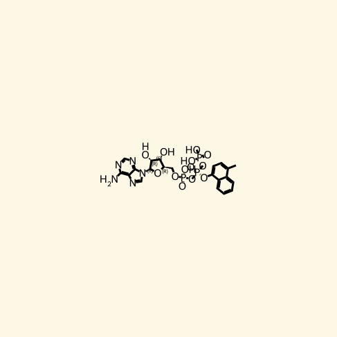 Cc1ccc(OP(=O)(OP(=O)(O)O)OP(=O)(O)OC[C@H]2O[C@@H](n3cnc4c(N)ncnc43)[C@H](O)[C@@H]2O)c2ccccc12